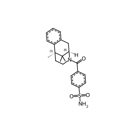 CC1(C)[C@H]2Cc3ccccc3[C@]1(C)CCN2C(=O)c1ccc(S(N)(=O)=O)cc1